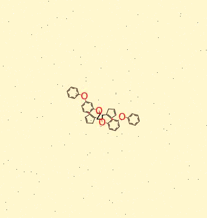 C1=CC[C]([Zr]([O]c2cccc(Oc3ccccc3)c2)([O]c2cccc(Oc3ccccc3)c2)[C]2=CC=CC2)=C1